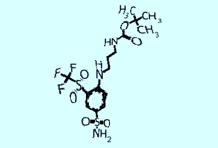 CC(C)(C)OC(=O)NCCCNc1ccc(S(N)(=O)=O)cc1S(=O)(=O)C(F)(F)F